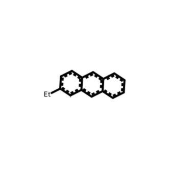 CCc1[c]c2cc3ccccc3cc2cc1